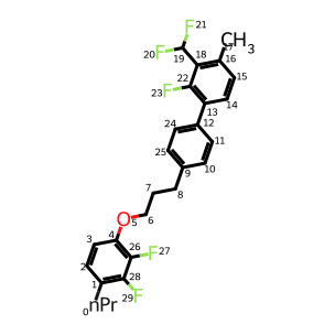 CCCc1ccc(OCCCc2ccc(-c3ccc(C)c(C(F)F)c3F)cc2)c(F)c1F